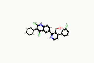 OCc1c(-c2cccc(Cl)c2)ccnc1-c1ccc2nc(Cl)c(C3CCCCC3)c(Cl)c2c1